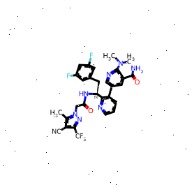 Cc1c(C#N)c(C(F)(F)F)nn1CC(=O)N[C@@H](Cc1cc(F)cc(F)c1)c1ncccc1-c1cnc(N(C)C)c(C(N)=O)c1